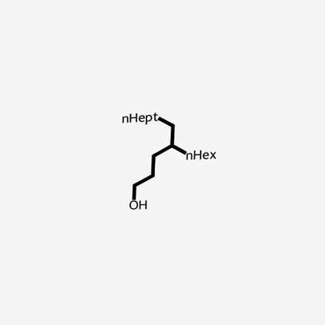 CCCCCCCCC(CCCO)CCCCCC